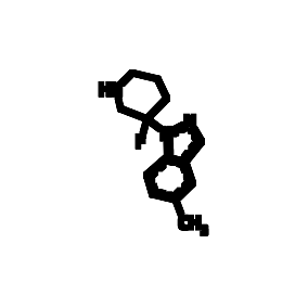 Cc1ccc2c(cnn2C2(F)CCCNC2)c1